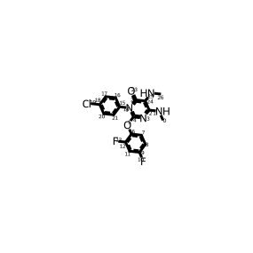 CNc1nc(Oc2ccc(F)cc2F)n(-c2ccc(Cl)cc2)c(=O)c1NC